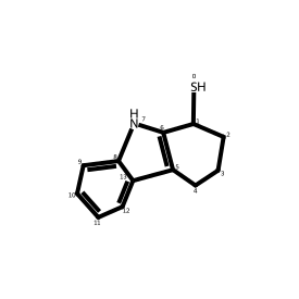 SC1CCCc2c1[nH]c1ccccc21